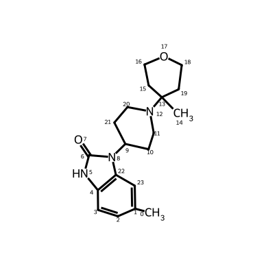 Cc1ccc2[nH]c(=O)n(C3CCN(C4(C)CCOCC4)CC3)c2c1